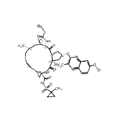 CCOc1ccc2nc(C(F)(F)F)c(O[C@@H]3C[C@H]4C(=O)N[C@]5(C(=O)NS(=O)(=O)C6(C)CC6)CC5/C=C\CC[C@H](C)C[C@@H](C)[C@H](NC(=O)OC(C)(C)C)C(=O)N4C3)nc2c1